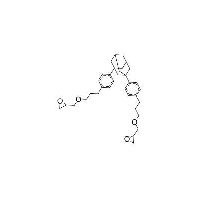 c1cc(C23CC4CC(C2)CC(c2ccc(CCCOCC5CO5)cc2)(C4)C3)ccc1CCCOCC1CO1